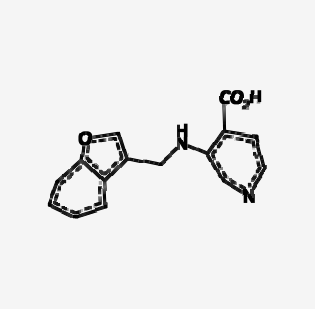 O=C(O)c1ccncc1NCc1coc2ccccc12